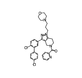 O=C(c1ccccn1)N1CCc2c(c(-c3ccc(Cl)c(-c4ccc(Cl)cc4)c3)nn2CCCN2CCOCC2)C1